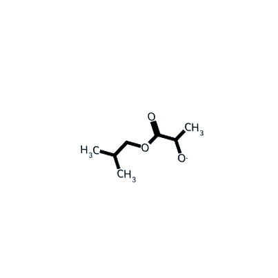 CC(C)COC(=O)C(C)[O]